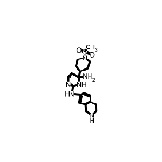 CS(=O)(=O)N1CCC(C2(N)C=CN=C(Nc3ccc4c(c3)CNCC4)N2)CC1